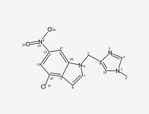 Cn1cnc(Cn2ccc3c(Cl)cc([N+](=O)[O-])cc32)c1